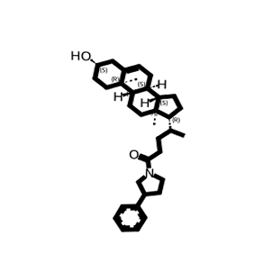 CC(CCC(=O)N1CCC(c2ccccc2)C1)[C@H]1CC[C@H]2[C@@H]3CC=C4C[C@@H](O)CC[C@]4(C)[C@H]3CC[C@]12C